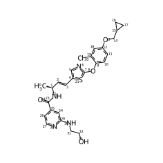 C[C@@H](/C=C/c1cnc(Oc2ccc(OCC3CC3)cc2Cl)s1)NC(=O)c1ccnc(NCCO)c1